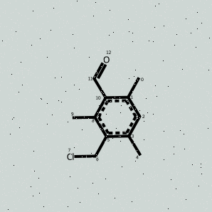 Cc1cc(C)c(CCl)c(C)c1C=O